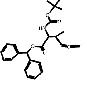 C=C=CC(C)C(NC(=O)OC(C)(C)C)C(=O)OC(c1ccccc1)c1ccccc1